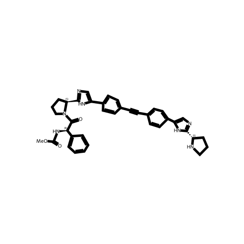 COC(=O)N[C@@H](C(=O)N1CCC[C@H]1c1ncc(-c2ccc(C#Cc3ccc(-c4cnc([C@@H]5CCCN5)[nH]4)cc3)cc2)[nH]1)c1ccccc1